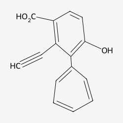 C#Cc1c(C(=O)O)ccc(O)c1-c1ccccc1